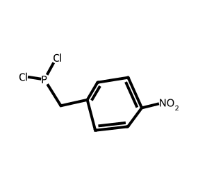 O=[N+]([O-])c1ccc(CP(Cl)Cl)cc1